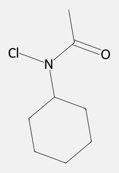 CC(=O)N(Cl)C1CCCCC1